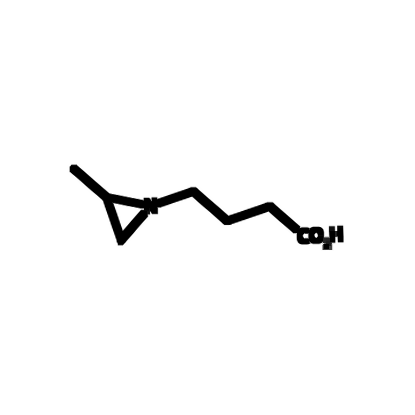 CC1CN1CCCC(=O)O